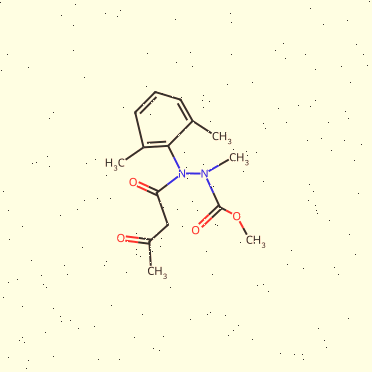 COC(=O)N(C)N(C(=O)CC(C)=O)c1c(C)cccc1C